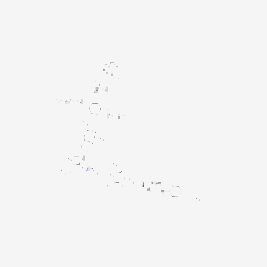 CN(C)/N=N/c1[nH]cnc1C(N)=O.CN(C)c1nc(N(C)C)nc(N(C)C)n1.CN(C)c1nc(N(C)C)nc(N(C)C)n1.CNNCc1ccc(C(=O)NC(C)C)cc1.C[C@]12CC[C@@H]3c4ccc(OC(=O)N(CCCl)CCCl)cc4CC[C@H]3[C@@H]1CC[C@@H]2O.O=P(O)(O)O.O=P1(NCCCl)OCCCN1CCCl